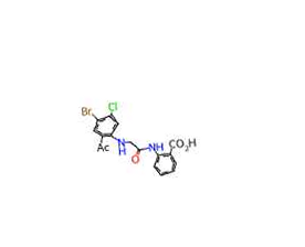 CC(=O)c1cc(Br)c(Cl)cc1NCC(=O)Nc1ccccc1C(=O)O